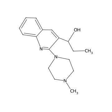 CCC(O)c1cc2ccccc2nc1N1CCN(C)CC1